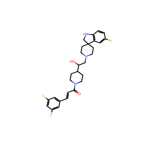 O=C(/C=C/c1cc(F)cc(F)c1)N1CCC(C(O)CN2CCC3(CC2)CNc2ccc(F)cc23)CC1